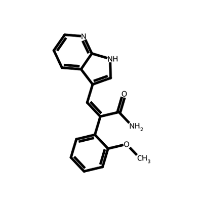 COc1ccccc1C(=Cc1c[nH]c2ncccc12)C(N)=O